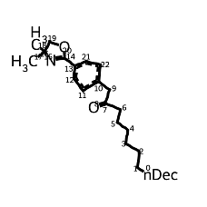 CCCCCCCCCCCCCCCCC(=O)Cc1ccc(C2=NC(C)(C)CO2)cc1